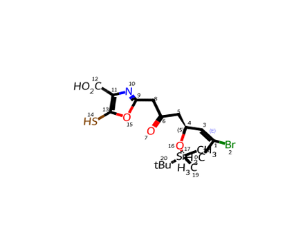 C/C(Br)=C\[C@H](CC(=O)Cc1nc(C(=O)O)c(S)o1)O[Si](C)(C)C(C)(C)C